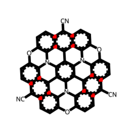 N#Cc1ccc(-c2c(N3c4ccccc4Oc4ccccc43)c(-c3ccc(C#N)cc3)c(N3c4ccccc4Oc4ccccc43)c(-c3ccc(C#N)cc3)c2N2c3ccccc3Oc3ccccc32)cc1